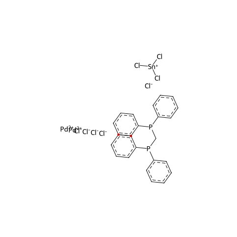 [Cl-].[Cl-].[Cl-].[Cl-].[Cl-].[Cl][Sn+]([Cl])[Cl].[Pd+2].[Pd+2].c1ccc(P(CP(c2ccccc2)c2ccccc2)c2ccccc2)cc1